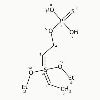 CC=S(=CCOP(O)(O)=S)(OCC)OCC